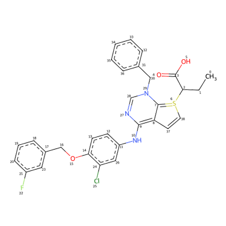 CCC(C(=O)O)S1=C2C(=C(Nc3ccc(OCc4cccc(F)c4)c(Cl)c3)N=CN2Cc2ccccc2)C=C1